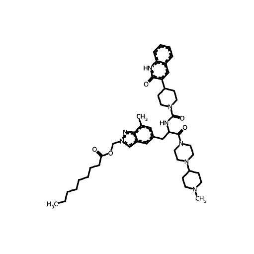 CCCCCCCCC(=O)OCn1cc2cc(CC(NC(=O)N3CCC(c4cc5ccccc5[nH]c4=O)CC3)C(=O)N3CCN(C4CCN(C)CC4)CC3)cc(C)c2n1